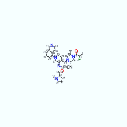 C=C(F)C(=O)N1CCN(c2c(C#N)c(OCC3CCCN3C)nc3c2CCN(c2cccc4cnccc24)C3)CC1C